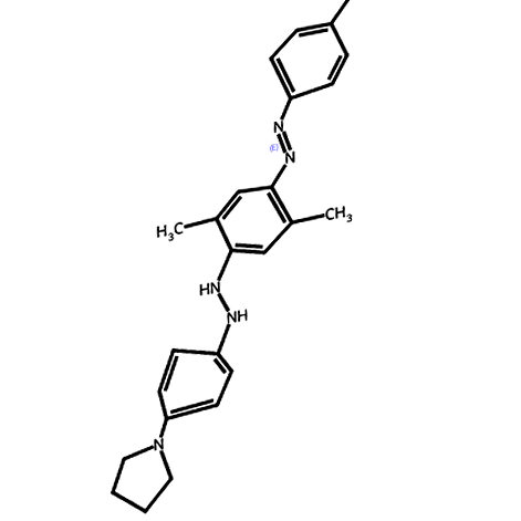 Cc1cc(NNc2ccc(N3CCCC3)cc2)c(C)cc1/N=N/c1ccc(F)cc1